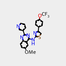 COc1ccc2nc(-c3cccnc3)nc(Nc3nc(-c4ccc(OC(F)(F)F)cc4)cs3)c2c1